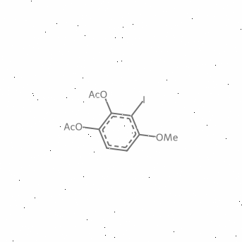 COc1ccc(OC(C)=O)c(OC(C)=O)c1I